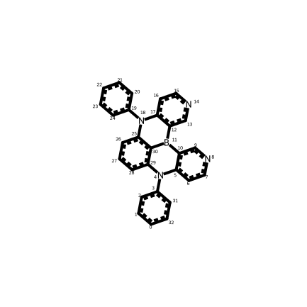 c1ccc(N2c3ccncc3B3c4cnccc4N(c4ccccc4)c4cccc2c43)cc1